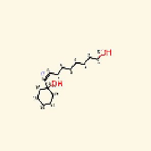 OCCCCCCC/C=C\C1(O)CCCCC1